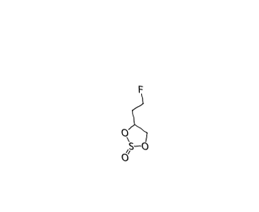 O=S1OCC(CCF)O1